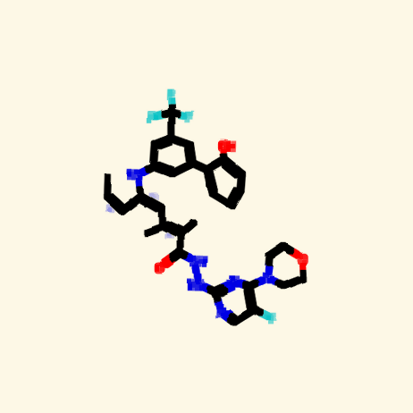 C\C=C/C(=C\C(C)=C(/C)C(=O)NNc1ncc(F)c(N2CCOCC2)n1)Nc1cc(-c2ccccc2O)cc(C(F)(F)F)c1